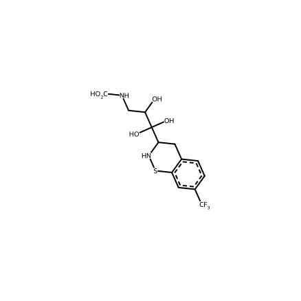 O=C(O)NCC(O)C(O)(O)C1Cc2ccc(C(F)(F)F)cc2SN1